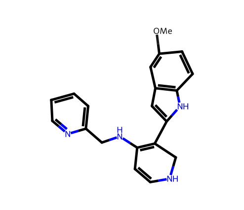 COc1ccc2[nH]c(C3=C(NCc4ccccn4)C=CNC3)cc2c1